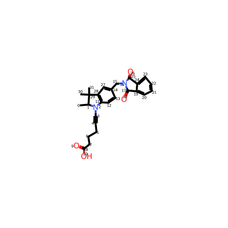 CC1N(C#CCCCC(=O)O)c2ccc(CN3C(=O)c4ccccc4C3=O)cc2C1(C)C